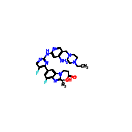 CCN1CCN(Cc2cnc(Nc3ncc(F)c(-c4cc(F)c5nc(C)n(CCC(=O)O)c5c4)n3)cc2N)CC1